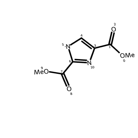 COC(=O)C1=C[N]C(C(=O)OC)=N1